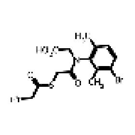 Cc1ccc(Br)c(C)c1N(CC(=O)O)C(=O)CSC(=O)CC(C)C